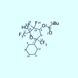 CCC(C)C(=O)OC1CC(C2CCCCC2)(C(F)(F)F)OC(O)(C(F)(F)F)C1(F)F